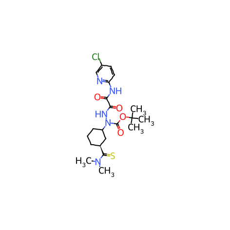 CN(C)C(=S)[C@H]1CCCC(N(NC(=O)C(=O)Nc2ccc(Cl)cn2)C(=O)OC(C)(C)C)C1